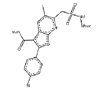 [CH2]CCCCNS(=O)(=O)Cc1nc2oc(-c3ccc(CC)cc3)c(C(=O)NC)c2cc1I